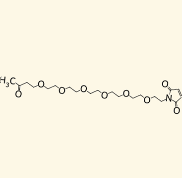 CC(=O)CCOCCOCCOCCOCCOCCOCCN1C(=O)C=CC1=O